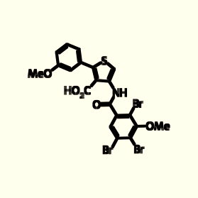 COc1cccc(-c2scc(NC(=O)c3cc(Br)c(Br)c(OC)c3Br)c2C(=O)O)c1